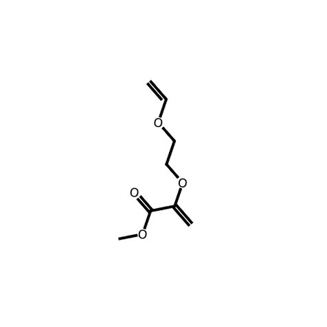 C=COCCOC(=C)C(=O)OC